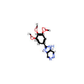 COc1cc(-c2nc3cnncc3[nH]2)cc(OC)c1OC